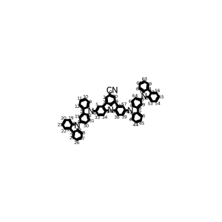 N#Cc1cc2c3cc(-n4c5ccccc5c5cc(-n6c7ccccc7c7ccccc76)ccc54)ccc3n3c4ccc(-n5c6ccccc6c6cc(-n7c8ccccc8c8ccccc87)ccc65)cc4c(c1)c23